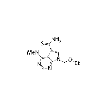 CCOCn1cc(C(N)=S)c2c(NC)ncnc21